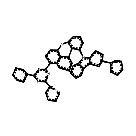 c1ccc(-c2ccc3c(c2)c2ccccc2n3-c2cccc3c2-c2cccc4c(-c5nc(-c6ccccc6)nc(-c6ccccc6)n5)ccc(c24)S3)cc1